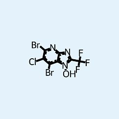 On1c(C(F)(F)F)nc2nc(Br)c(Cl)c(Br)c21